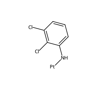 Clc1cccc([NH][Pt])c1Cl